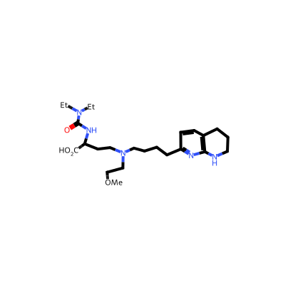 CCN(CC)C(=O)NC(CCN(CCCCc1ccc2c(n1)NCCC2)CCOC)C(=O)O